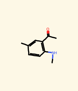 CNc1ccc(C)cc1C(C)=O